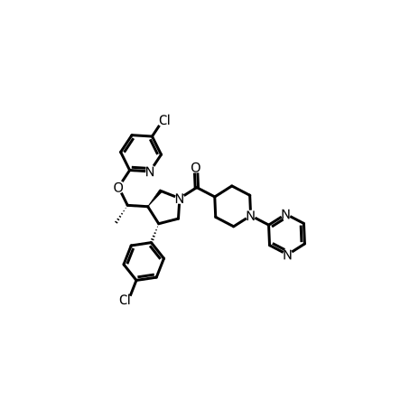 C[C@H](Oc1ccc(Cl)cn1)[C@H]1CN(C(=O)C2CCN(c3cnccn3)CC2)C[C@@H]1c1ccc(Cl)cc1